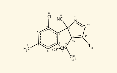 N#CC1(c2c(Cl)cc(C(F)(F)F)cc2Cl)N=NC(I)=C1[S+]([O-])C(F)(F)F